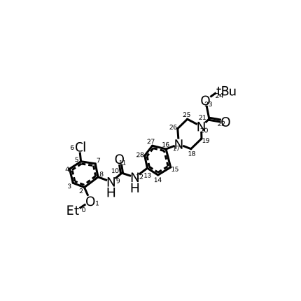 CCOc1ccc(Cl)cc1NC(=O)Nc1ccc(N2CCN(C(=O)OC(C)(C)C)CC2)cc1